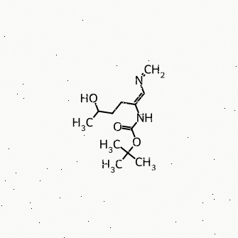 C=N/C=C(\CCC(C)O)NC(=O)OC(C)(C)C